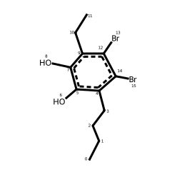 CCCCc1c(O)c(O)c(CC)c(Br)c1Br